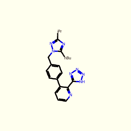 CCCCc1nc(C(C)C)nn1Cc1ccc(-c2cccnc2-c2nnn[nH]2)cc1